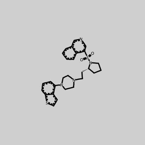 O=S(=O)(c1cncc2ccccc12)N1CCC[C@@H]1CCN1CCN(c2cccc3sccc23)CC1